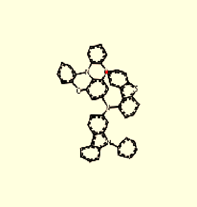 c1ccc(-n2c3ccccc3c3ccc(N(c4cc5c6c(c4)Oc4ccccc4N6c4ccccc4O5)c4cccc5sc6ccccc6c45)cc32)cc1